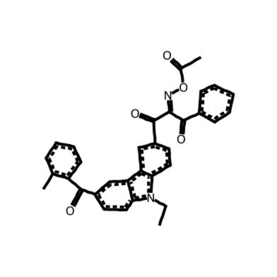 CCn1c2ccc(C(=O)/C(=N/OC(C)=O)C(=O)c3ccccc3)cc2c2cc(C(=O)c3ccccc3C)ccc21